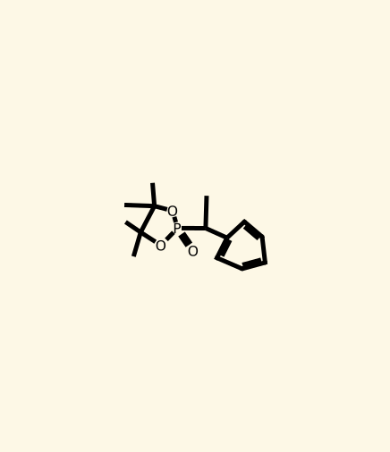 CC(c1ccccc1)P1(=O)OC(C)(C)C(C)(C)O1